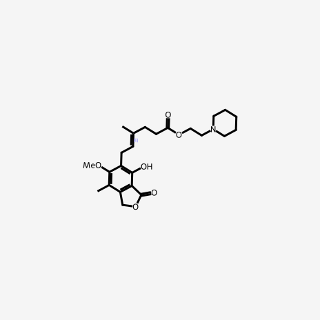 COc1c(C)c2c(c(O)c1C/C=C(\C)CCC(=O)OCCN1CCCCC1)C(=O)OC2